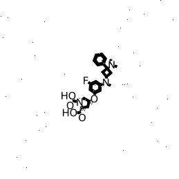 CN(c1cc(F)cc(O[C@H]2C[C@@H](C(=O)O)N(C(=O)O)C2)c1)C1CC(c2ccccc2)(N(C)C)C1